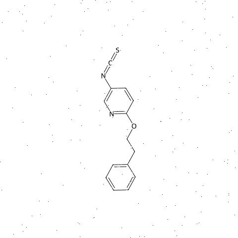 S=C=Nc1ccc(OCCc2ccccc2)nc1